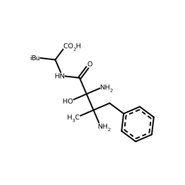 CCC(C)C(NC(=O)C(N)(O)C(C)(N)Cc1ccccc1)C(=O)O